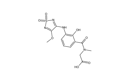 COC1=NS(=O)(=O)N=C1Nc1cccc(C(=O)N(C)CC(=O)O)c1O